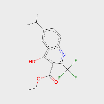 CCOC(=O)c1c(C(F)(F)F)nc2ccc(C(C)C)cc2c1O